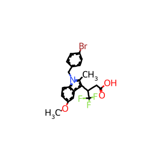 COc1ccc2c(c1)c(C(CC(=O)O)C(F)(F)F)c(C)n2Cc1ccc(Br)cc1